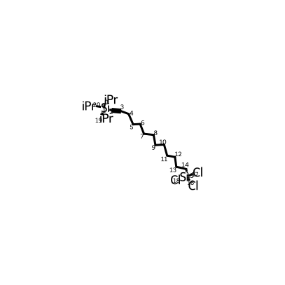 CC(C)[Si](C#CCCCCCCCCCCC[Si](Cl)(Cl)Cl)(C(C)C)C(C)C